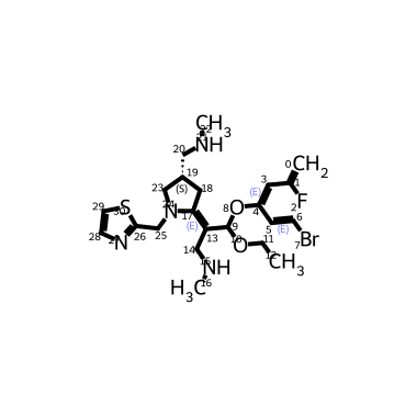 C=C(F)/C=C(\C=C\Br)OC(OCC)/C(CNC)=C1\C[C@@H](CNC)CN1Cc1nccs1